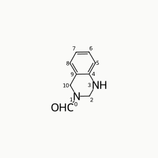 O=CN1CNc2ccccc2C1